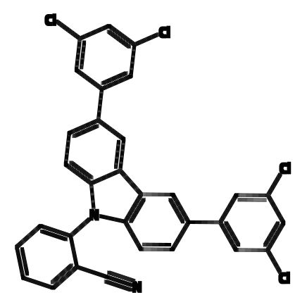 N#Cc1ccccc1-n1c2ccc(-c3cc(Cl)cc(Cl)c3)cc2c2cc(-c3cc(Cl)cc(Cl)c3)ccc21